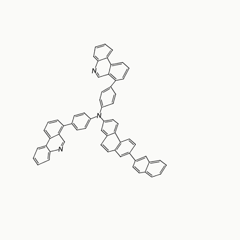 c1ccc2cc(-c3ccc4c(ccc5cc(N(c6ccc(-c7cccc8c7cnc7ccccc78)cc6)c6ccc(-c7cccc8c7cnc7ccccc78)cc6)ccc54)c3)ccc2c1